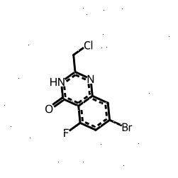 O=c1[nH]c(CCl)nc2cc(Br)cc(F)c12